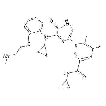 CNCCOc1ccccc1N(c1nc(-c2cc(C(=O)NC3CC3)cc(F)c2C)c[nH]c1=O)C1CC1